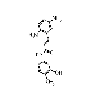 Cc1ccc(NC(=O)/C=C/c2cc(N)ccc2N)cc1O